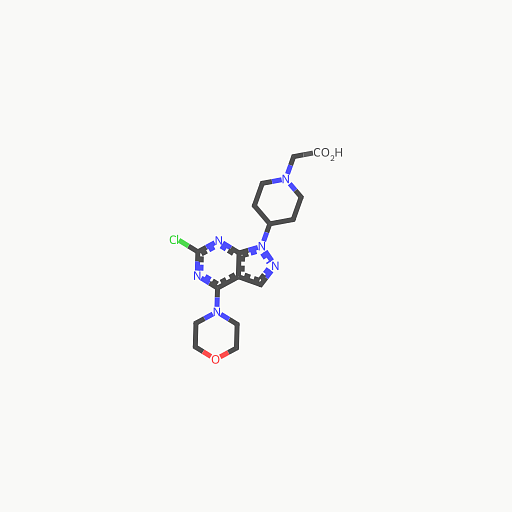 O=C(O)CN1CCC(n2ncc3c(N4CCOCC4)nc(Cl)nc32)CC1